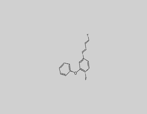 FC=CC=Cc1ccc(F)c(Oc2ccccc2)c1